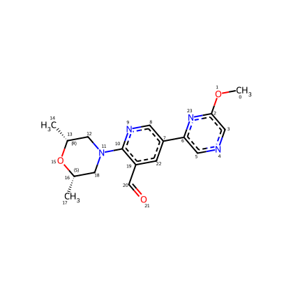 COc1cncc(-c2cnc(N3C[C@@H](C)O[C@@H](C)C3)c(C=O)c2)n1